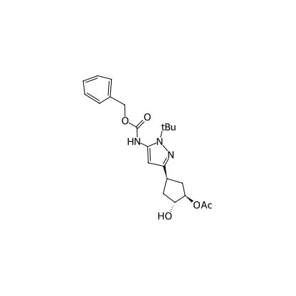 CC(=O)O[C@@H]1C[C@H](c2cc(NC(=O)OCc3ccccc3)n(C(C)(C)C)n2)C[C@H]1O